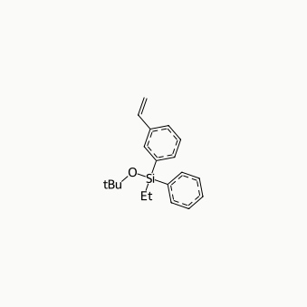 C=Cc1cccc([Si](CC)(OC(C)(C)C)c2ccccc2)c1